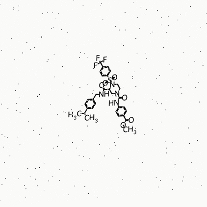 COC(=O)c1ccc(NC(=O)N2CCN(S(=O)(=O)c3ccc(C(F)(F)F)cc3)C(C(=O)NCc3ccc(C(C)C)cc3)C2)cc1